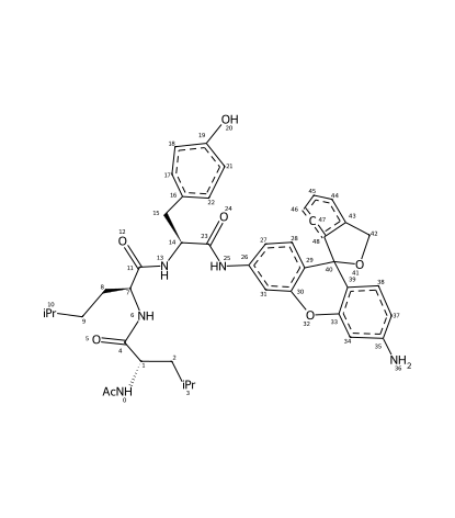 CC(=O)N[C@@H](CC(C)C)C(=O)N[C@@H](CCC(C)C)C(=O)N[C@@H](Cc1ccc(O)cc1)C(=O)Nc1ccc2c(c1)Oc1cc(N)ccc1C21OCc2ccccc21